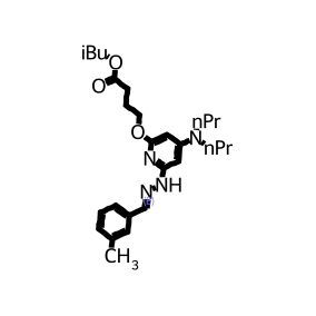 CCCN(CCC)c1cc(N/N=C/c2cccc(C)c2)nc(OCCCC(=O)OC(C)CC)c1